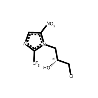 O=[N+]([O-])c1cnc(C(F)(F)F)n1C[C@@H](O)CCl